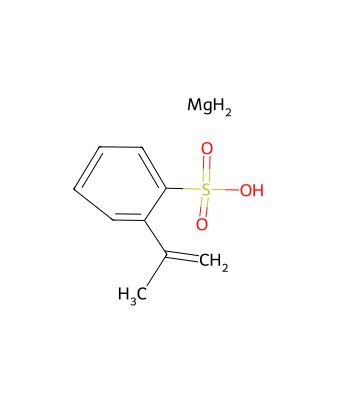 C=C(C)c1ccccc1S(=O)(=O)O.[MgH2]